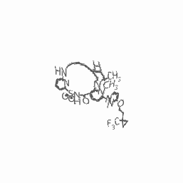 CC1(C)C[C@H]2CCCCNc3cccc(n3)S(=O)(=O)NC(=O)c3ccc(-n4ccc(OCCC5(C(F)(F)F)CC5)n4)nc3N1C2